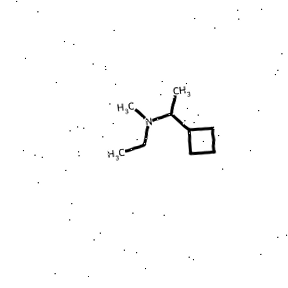 CCN(C)C(C)C1CCC1